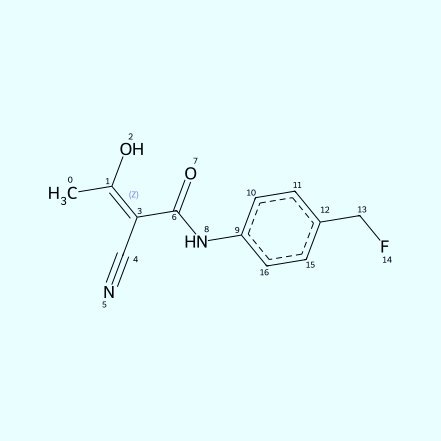 C/C(O)=C(\C#N)C(=O)Nc1ccc(CF)cc1